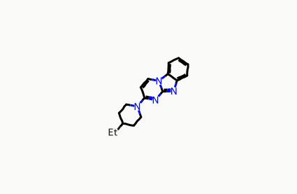 CCC1CCN(c2ccn3c(n2)nc2ccccc23)CC1